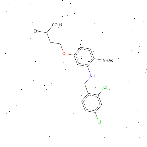 CCC(CCOc1ccc(NC(C)=O)c(NCc2ccc(Cl)cc2Cl)c1)C(=O)O